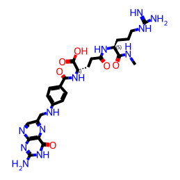 CNC(=O)[C@H](CCCNC(=N)N)NC(=O)CC[C@H](NC(=O)c1ccc(NCc2cnc3nc(N)[nH]c(=O)c3n2)cc1)C(=O)O